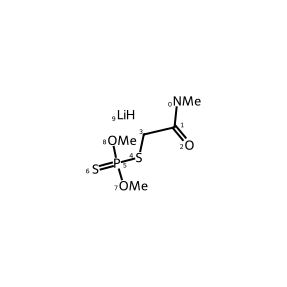 CNC(=O)CSP(=S)(OC)OC.[LiH]